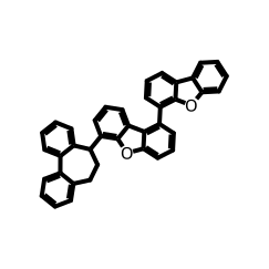 c1ccc2c(c1)CCC(c1cccc3c1oc1cccc(-c4cccc5c4oc4ccccc45)c13)c1ccccc1-2